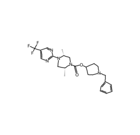 C[C@@H]1CN(c2ncc(C(F)(F)F)cn2)[C@H](C)CN1C(=O)OC1CCN(Cc2ccccc2)CC1